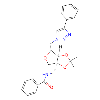 CC1(C)O[C@@H]2[C@@H](Cn3cc(-c4ccccc4)nn3)OC[C@]2(CNC(=O)c2ccccc2)O1